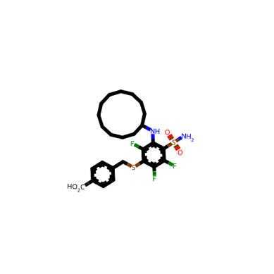 NS(=O)(=O)c1c(F)c(F)c(SCc2ccc(C(=O)O)cc2)c(F)c1NC1CCCCCCCCCCC1